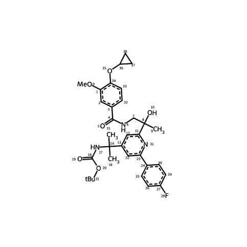 COc1cc(C(=O)NCC(C)(O)c2cc(C(C)(C)NC(=O)OC(C)(C)C)cc(-c3ccc(F)cc3)n2)ccc1OC1CC1